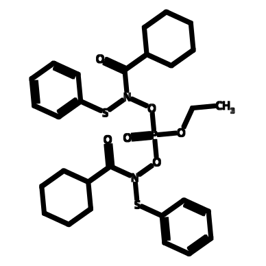 CCOP(=O)(ON(Sc1ccccc1)C(=O)C1CCCCC1)ON(Sc1ccccc1)C(=O)C1CCCCC1